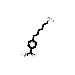 CCCCCCCc1ccc(C(N)=O)cc1